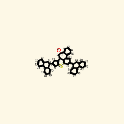 O=C1CC2C3=C(C=C(C4Cc5ccccc5C5C=CC=CC45)C3)Sc3cc(C4Cc5ccccc5-c5ccccc54)cc(c32)-c2ccccc21